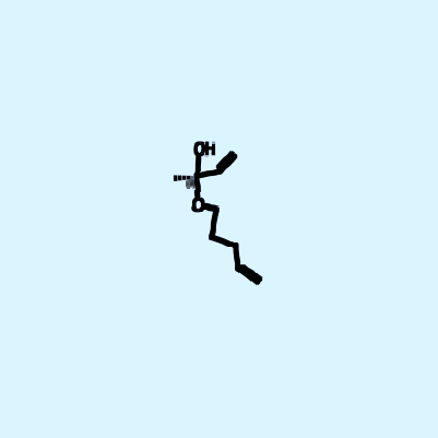 C=CCCCO[C@@](C)(O)C=C